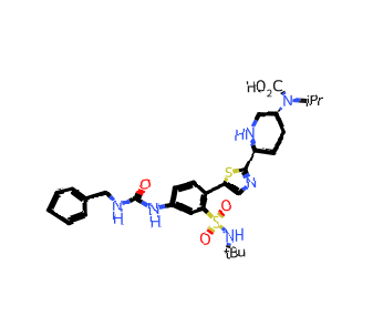 CC(C)N(C(=O)O)[C@@H]1CC[C@@H](c2ncc(-c3ccc(NC(=O)NCc4ccccc4)cc3S(=O)(=O)NC(C)(C)C)s2)NC1